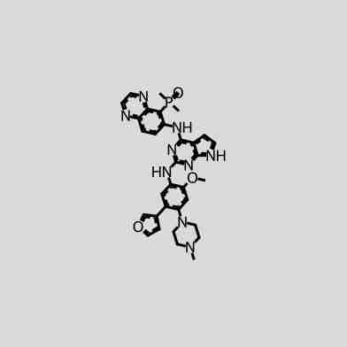 COc1cc(N2CCN(C)CC2)c(-c2ccoc2)cc1Nc1nc(Nc2ccc3nccnc3c2P(C)(C)=O)c2cc[nH]c2n1